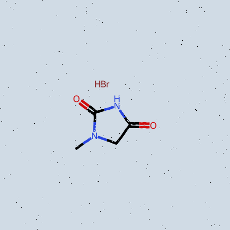 Br.CN1CC(=O)NC1=O